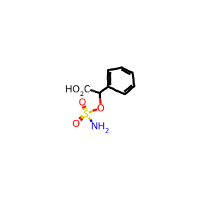 NS(=O)(=O)OC(C(=O)O)c1ccccc1